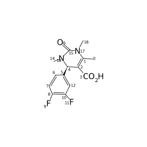 CC1=C(C(=O)O)[C@@H](c2ccc(F)c(F)c2)N(C)C(=O)N1C